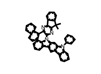 CC1(C)c2ccccc2-c2nc(-c3cccc4ccccc34)c(-n3c4ccccc4c4cc5c6ccccc6n(-c6ccccc6)c5cc43)nc21